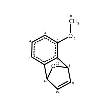 COc1cccc2c1C1C=CC2O1